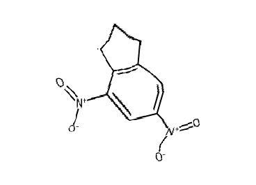 O=[N+]([O-])c1cc2c(c([N+](=O)[O-])c1)[CH]CC2